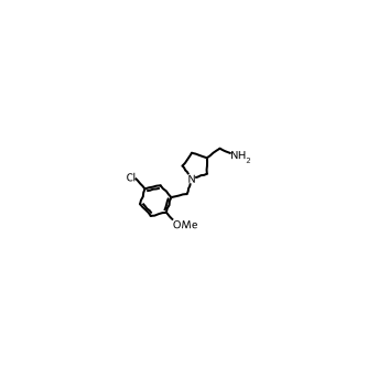 COc1ccc(Cl)cc1CN1CCC(CN)C1